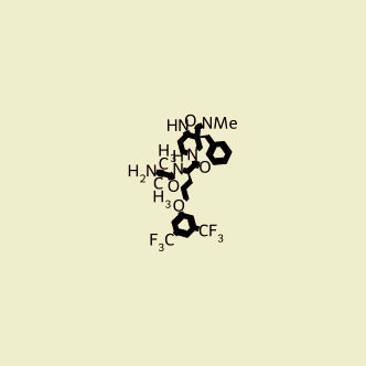 CNC(=O)[C@]1(Cc2ccccc2)CN(C(=O)[C@@H](CCCOc2cc(C(F)(F)F)cc(C(F)(F)F)c2)NC(=O)C(C)(C)N)CCC1=N